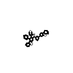 c1ccc(-c2c3c(cc4c(-c5cccc(-c6ccc7c(c6)oc6ccccc67)c5)nc5ccccc5c24)oc2ccccc23)cc1